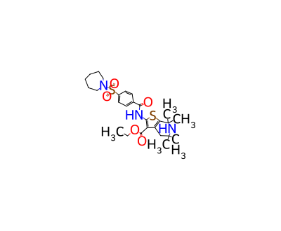 CCOC(=O)c1c(NC(=O)c2ccc(S(=O)(=O)N3CCCCCC3)cc2)sc2c1CC(C)(C)NC2(C)C